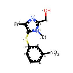 CCn1c(CO)nc(C(C)C)c1Sc1cccc([N+](=O)[O-])c1